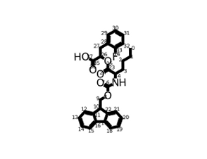 CCCCC(NC(=O)OCC1c2ccccc2-c2ccccc21)C(=O)OC(Cc1ccccc1F)C(=O)O